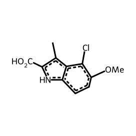 COc1ccc2[nH]c(C(=O)O)c(C)c2c1Cl